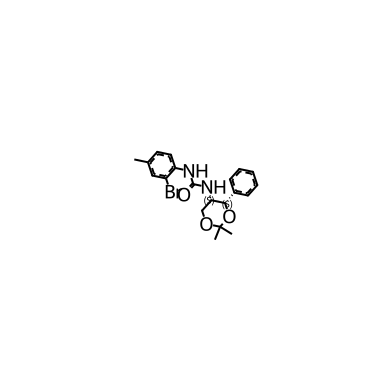 Cc1ccc(NC(=O)N[C@H]2COC(C)(C)O[C@H]2c2ccccc2)c(Br)c1